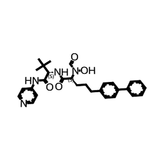 CC(C)(C)[C@H](NC(=O)[C@H](CCCc1ccc(-c2ccccc2)cc1)N(O)C=O)C(=O)Nc1ccncc1